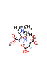 COC(CC(=O)[O-])C[N+](C)(C)C.N[C@@H](CC(=O)O)C(=O)[O-].[K+]